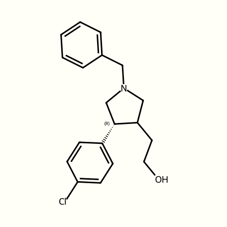 OCCC1CN(Cc2ccccc2)C[C@H]1c1ccc(Cl)cc1